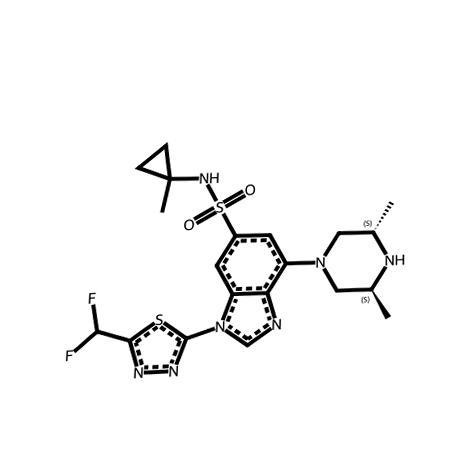 C[C@H]1CN(c2cc(S(=O)(=O)NC3(C)CC3)cc3c2ncn3-c2nnc(C(F)F)s2)C[C@H](C)N1